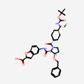 CC(C)(C)OC(=O)N[C@H](CF)[C@H]1CC[C@H](C(=O)N2CC[C@@H](OCc3ccccc3)[C@H]2C(=O)Nc2ccc3oc(C(=O)O)cc3c2)CC1